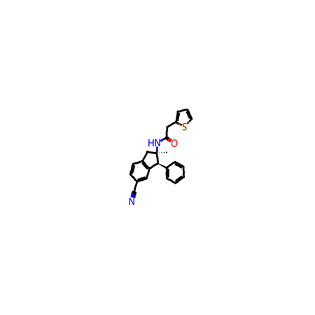 C[C@@]1(NC(=O)Cc2cccs2)Cc2ccc(C#N)cc2[C@@H]1c1ccccc1